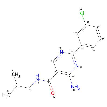 CC(C)CNC(=O)c1cnc(-c2cccc(Cl)c2)nc1N